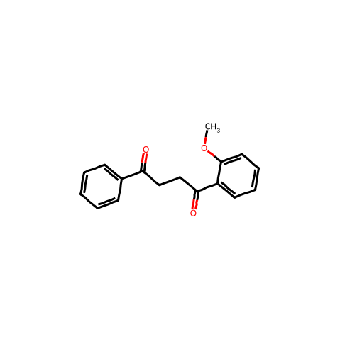 COc1ccccc1C(=O)CCC(=O)c1ccccc1